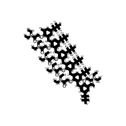 CCc1cc(C(C)(C)C(C)(C)C)cc(Cc2cc(C(C)(C)C(C)(C)C)cc(Cc3cc(C(C)(C)C(C)(C)C)cc(Cc4cc(C(C)(C)C(C)(C)C)cc(Cc5cc(C(C)(C)C(C)(C)C)cc(Cc6cc(C(C)(C)C(C)(C)C)cc(C)c6OCC(=O)N(CC)CC)c5OCC(=O)N(CC)CC)c4OCC(=O)N(CC)CC)c3OCC(=O)N(CC)CC)c2OCC(=O)N(CC)CC)c1OCC(=O)N(CC)CC